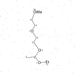 CCOC(C)OCCOCCOC